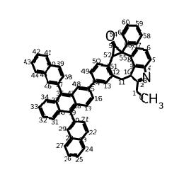 CCC1=Nc2cccc3c2C1Cc1cc(-c2ccc4c(-c5ccc6ccccc6c5)c5ccccc5c(-c5ccc6ccccc6c5)c4c2)ccc1C1C(=O)C31c1ccccc1